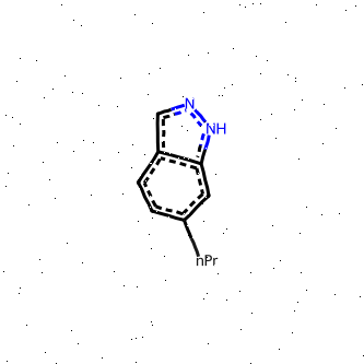 [CH2]CCc1ccc2cn[nH]c2c1